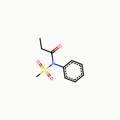 CCC(=O)N(c1ccccc1)S(C)(=O)=O